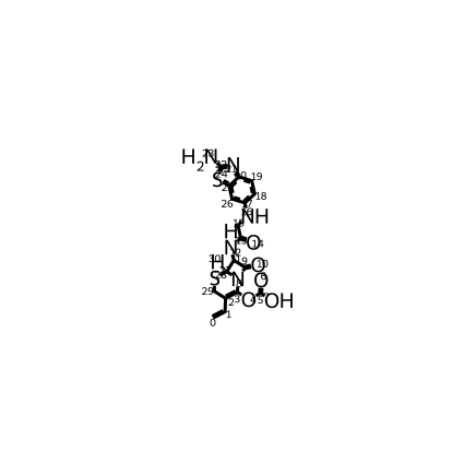 C=CC1=C(OC(=O)O)N2C(=O)C(NC(=O)CNc3ccc4nc(N)sc4c3)[C@@H]2SC1